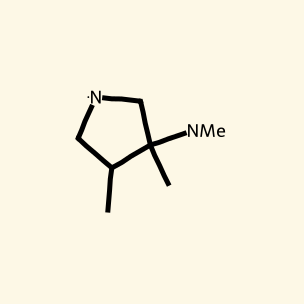 CNC1(C)C[N]CC1C